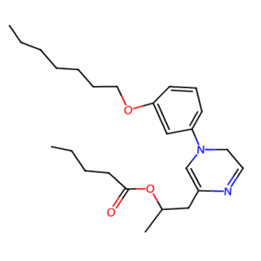 CCCCCCCOc1cccc(N2C=C(CC(C)OC(=O)CCCC)N=CC2)c1